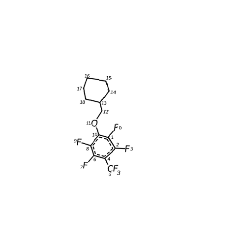 Fc1c(F)c(C(F)(F)F)c(F)c(F)c1OCC1CCCCC1